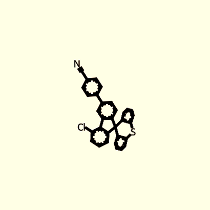 N#Cc1ccc(-c2ccc3c(c2)-c2c(Cl)cccc2C32c3ccccc3Sc3ccccc32)cc1